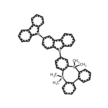 C[Si]1(C)c2ccccc2-c2ccccc2[Si](C)(C)c2cc(-n3c4ccccc4c4cc(-n5c6ccccc6c6ccccc65)ccc43)ccc21